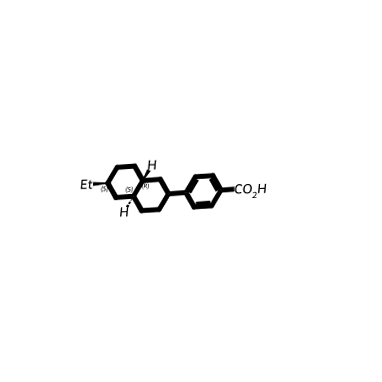 CC[C@H]1CC[C@@H]2CC(c3ccc(C(=O)O)cc3)CC[C@H]2C1